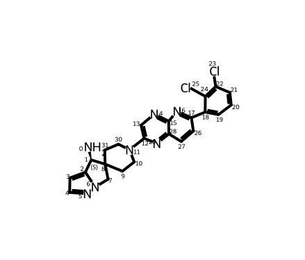 N[C@@H]1c2ccnn2CC12CCN(c1cnc3nc(-c4cccc(Cl)c4Cl)ccc3n1)CC2